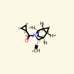 C#C[C@H]1[C@H]2C[C@H]([C@@H]3C[C@@H]32)N1C(=O)C1CC1